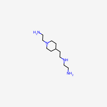 NCCNCCC1CCN(CCN)CC1